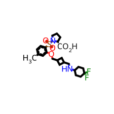 Cc1ccc(S(=O)(=O)N2CCC[C@H]2C(=O)O)c(OCC2CC(CNC3CCC(F)(F)CC3)C2)c1